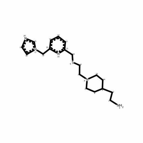 NCCC1CCN(CCSCc2cccc(Cn3ccnc3)n2)CC1